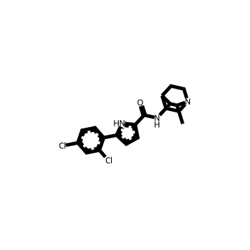 CC1C(NC(=O)c2ccc(-c3ccc(Cl)cc3Cl)[nH]2)C2CCN1CC2